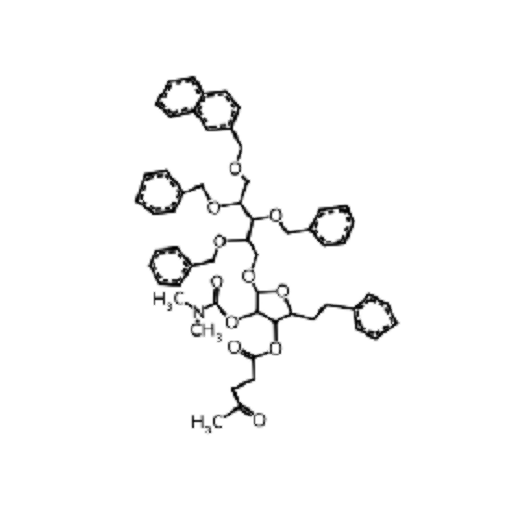 CC(=O)CCC(=O)OC1C(CCc2ccccc2)OC(OCC(OCc2ccccc2)C(OCc2ccccc2)C(COCc2ccc3ccccc3c2)OCc2ccccc2)C1OC(=O)N(C)C